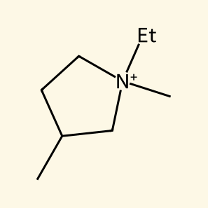 CC[N+]1(C)CCC(C)C1